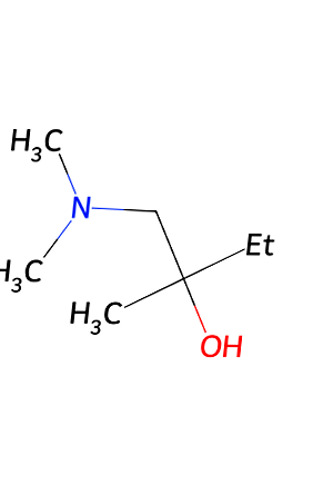 CCC(C)(O)CN(C)C